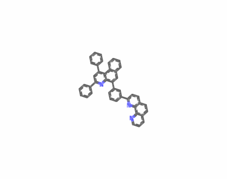 c1ccc(-c2cc(-c3ccccc3)c3c(n2)c(-c2cccc(-c4ccc5ccc6cccnc6c5n4)c2)cc2ccccc23)cc1